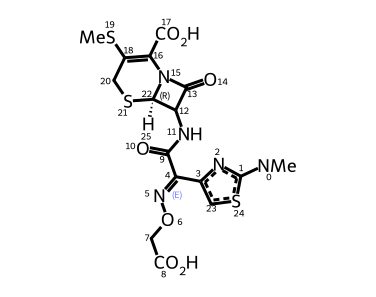 CNc1nc(/C(=N\OCC(=O)O)C(=O)NC2C(=O)N3C(C(=O)O)=C(SC)CS[C@H]23)cs1